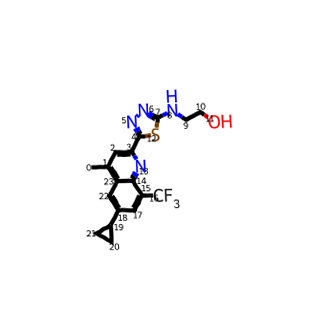 Cc1cc(-c2nnc(NCCO)s2)nc2c(C(F)(F)F)cc(C3CC3)cc12